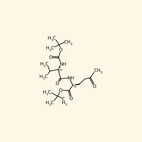 CC(=O)CC[C@H](NC(=O)[C@H](NC(=O)OC(C)(C)C)C(C)C)C(=O)OC(C)(C)C